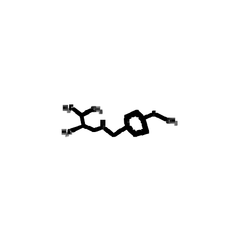 CSc1ccc(CNC[C@@H](C)C(C)C)cc1